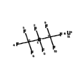 F[B-](F)(C(F)(F)F)C(F)(F)F.[Li+]